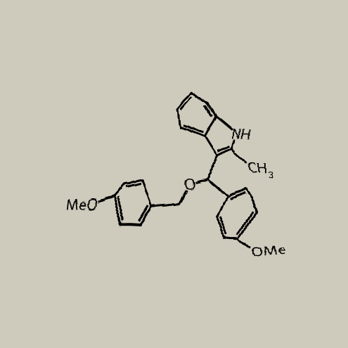 COc1ccc(COC(c2ccc(OC)cc2)c2c(C)[nH]c3ccccc23)cc1